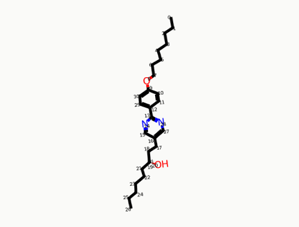 CCCCCCCCOc1ccc(-c2ncc(CC[C@H](O)CCCCCC)cn2)cc1